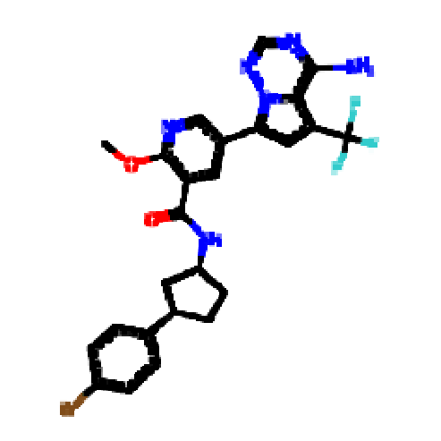 COc1ncc(-c2cc(C(F)(F)F)c3c(N)ncnn23)cc1C(=O)N[C@H]1CC[C@@H](c2ccc(Br)cc2)C1